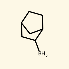 BC1CC2CCC1C2